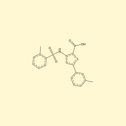 Cc1cccc(-c2cc(NS(=O)(=O)c3ccccc3C)c(C(=O)O)s2)c1